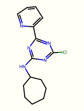 Clc1nc(NC2CCCCCC2)nc(-c2ccccn2)n1